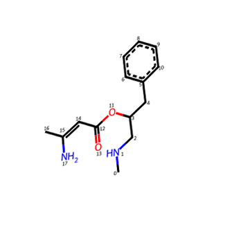 CNCC(Cc1ccccc1)OC(=O)/C=C(/C)N